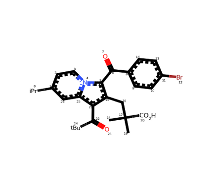 CC(C)c1ccn2c(C(=O)c3ccc(Br)cc3)c(CC(C)(C)C(=O)O)c(C(=O)C(C)(C)C)c2c1